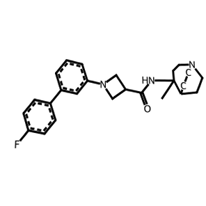 CC1(NC(=O)C2CN(c3cccc(-c4ccc(F)cc4)c3)C2)CCN2CCC1CC2